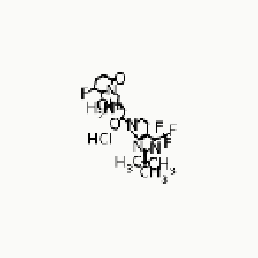 CC(C)(C)c1nc2c(c(C(F)(F)F)n1)CCN(C(=O)C[C@@H](N)CN1C(=O)CCC(F)C1O)C2.Cl